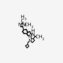 C=C(Nc1cc2cc(-c3cnc(C)n3C)ccc2cn1)C1CCN(CC2CCC2)C1